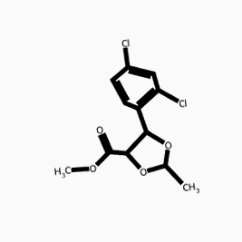 COC(=O)C1OC(C)OC1c1ccc(Cl)cc1Cl